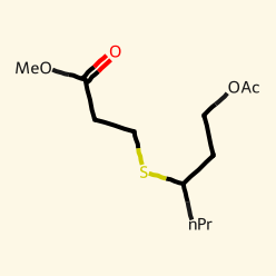 CCCC(CCOC(C)=O)SCCC(=O)OC